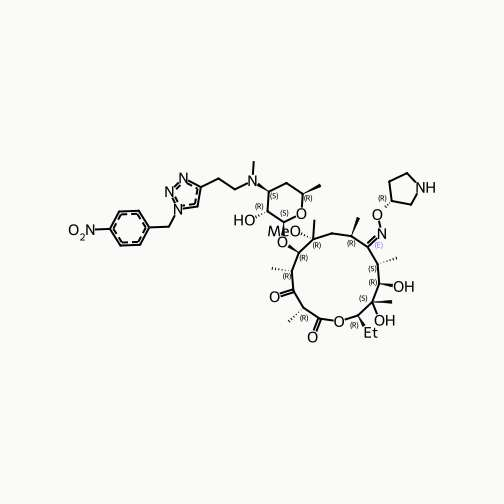 CC[C@H]1OC(=O)[C@H](C)C(=O)[C@H](C)[C@@H](O[C@@H]2O[C@H](C)C[C@H](N(C)CCc3cn(Cc4ccc([N+](=O)[O-])cc4)nn3)[C@H]2O)[C@](C)(OC)C[C@@H](C)/C(=N\O[C@@H]2CCNC2)[C@H](C)[C@@H](O)[C@]1(C)O